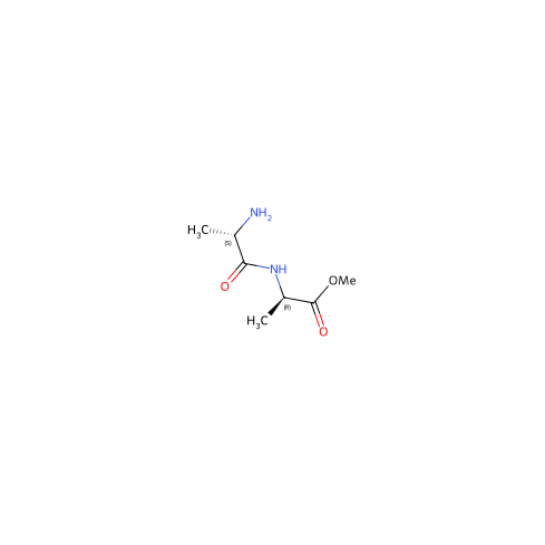 COC(=O)[C@@H](C)NC(=O)[C@H](C)N